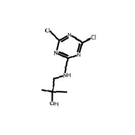 CC(C)(O)CNc1nc(Cl)nc(Cl)n1